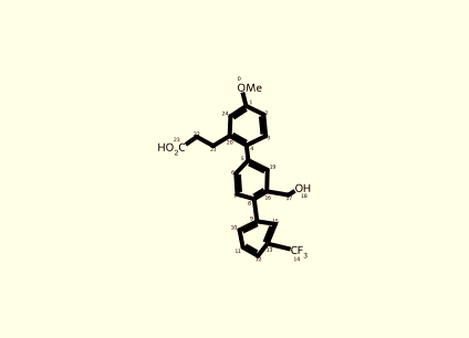 COc1ccc(-c2ccc(-c3cccc(C(F)(F)F)c3)c(CO)c2)c(CCC(=O)O)c1